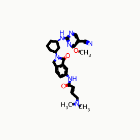 COc1nc(N[C@@H]2CCC[C@H](N3Cc4ccc(NC(=O)/C=C/CN(C)C)cc4C3=O)C2)ncc1C#N